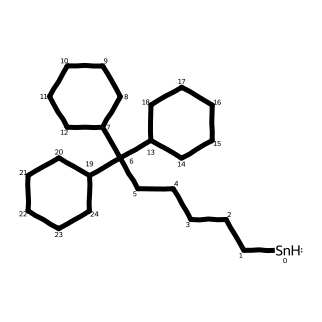 [SnH][CH2]CCCCC(C1CCCCC1)(C1CCCCC1)C1CCCCC1